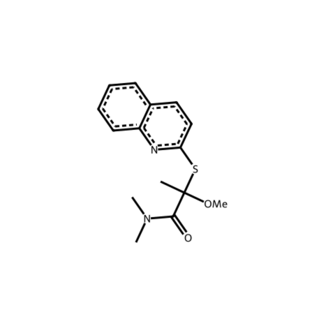 COC(C)(Sc1ccc2ccccc2n1)C(=O)N(C)C